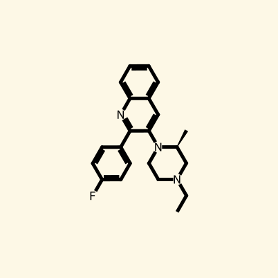 CCN1CCN(c2cc3ccccc3nc2-c2ccc(F)cc2)[C@@H](C)C1